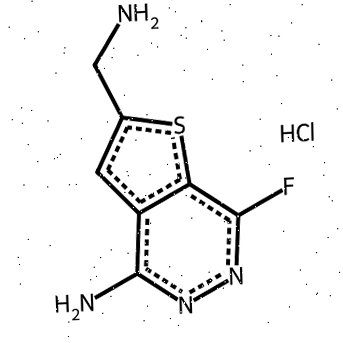 Cl.NCc1cc2c(N)nnc(F)c2s1